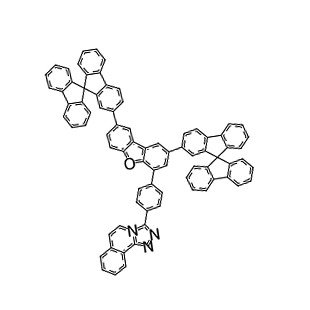 c1ccc2c(c1)-c1ccccc1C21c2ccccc2-c2ccc(-c3ccc4oc5c(-c6ccc(-c7nnc8c9ccccc9ccn78)cc6)cc(-c6ccc7c(c6)C6(c8ccccc8-c8ccccc86)c6ccccc6-7)cc5c4c3)cc21